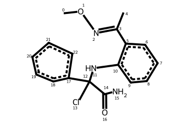 CON=C(C)c1ccccc1NC(Cl)(C(N)=O)c1ccccc1